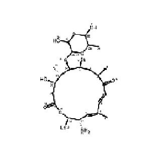 CC[C@H]1C[C@@H](C)C(=O)/C=C/C(C)=C/[C@H](N)[C@@H](CC)OC(=O)C[C@@H](O)[C@H](C)[C@H]1OC1OC(C)C(O)CC1O